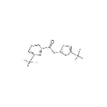 CC(C)(C)C1=CCC(CC(=O)c2cccc(C(C)(C)C)c2)=C1